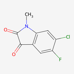 CN1C(=O)C(=O)c2cc(F)c(Cl)cc21